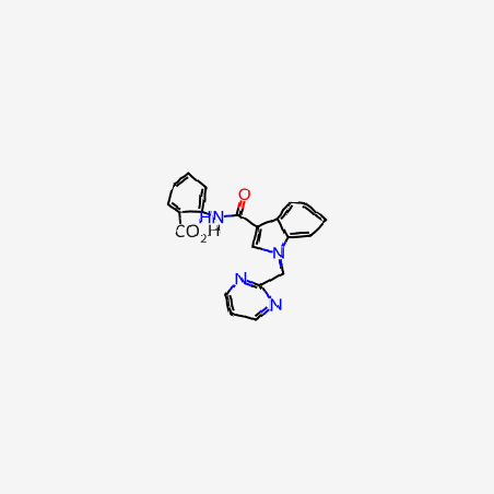 O=C(O)c1ccccc1NC(=O)c1cn(Cc2ncccn2)c2ccccc12